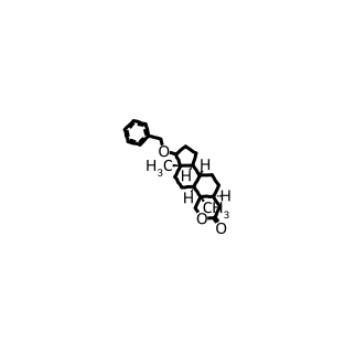 C[C@]12COC(=O)C[C@@H]1CC[C@@H]1[C@@H]2CC[C@]2(C)C(OCc3ccccc3)CC[C@@H]12